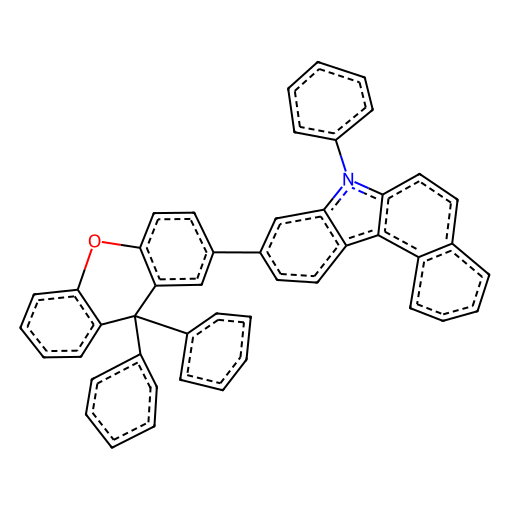 c1ccc(-n2c3cc(-c4ccc5c(c4)C(c4ccccc4)(c4ccccc4)c4ccccc4O5)ccc3c3c4ccccc4ccc32)cc1